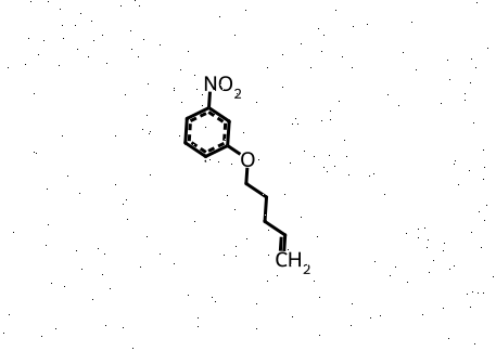 C=CCCCOc1[c]ccc([N+](=O)[O-])c1